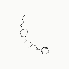 CCCC[C@H]1CC[C@H](C(C)CC(F)COc2ccccc2)CC1